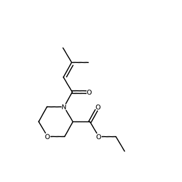 CCOC(=O)C1COCCN1C(=O)C=C(C)C